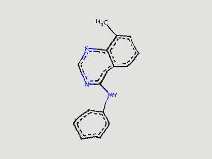 Cc1cccc2c(Nc3ccccc3)ncnc12